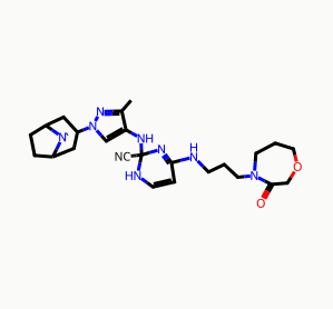 Cc1nn(C2CC3CCC(C2)N3C)cc1NC1(C#N)N=C(NCCCN2CCCOCC2=O)C=CN1